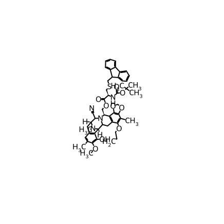 C=CCOc1c(C)c2c(c3c1CC1[C@@H]4c5c(cc(C)c(OC)c5O)C[C@H](C(C#N)N1[C@H]3COC(=O)[C@@H](CSCC1c3ccccc3-c3ccccc31)NC(=O)OC(C)(C)C)N4C)OCO2